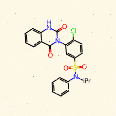 CC(C)N(c1ccccc1)S(=O)(=O)c1ccc(Cl)c(-n2c(=O)[nH]c3ccccc3c2=O)c1